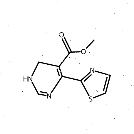 COC(=O)C1=C(c2nccs2)N=CNC1